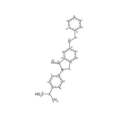 CC(C(=O)O)c1ccc(N2Cc3ccc(OCc4ccccc4)cc3C2=O)cc1